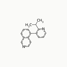 CC(C)c1ncccc1-c1cccc2cnccc12